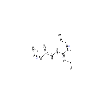 C=C/C=N\C(=C/CC)NNC(=O)/C=C\N